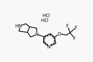 Cl.Cl.FC(F)(F)COc1cncc(N2CC3CNCC3C2)c1